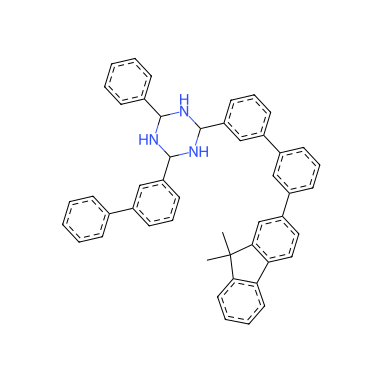 CC1(C)c2ccccc2-c2ccc(-c3cccc(-c4cccc(C5NC(c6ccccc6)NC(c6cccc(-c7ccccc7)c6)N5)c4)c3)cc21